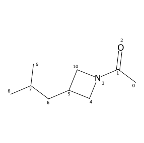 CC(=O)N1CC(CC(C)C)C1